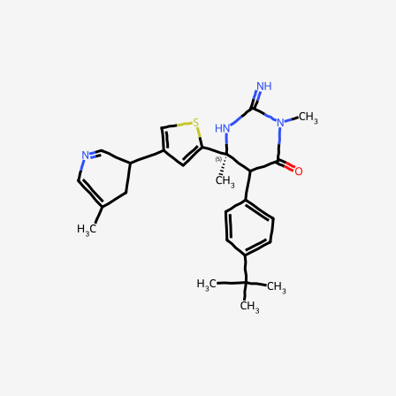 CC1=CN=CC(c2csc([C@@]3(C)NC(=N)N(C)C(=O)C3c3ccc(C(C)(C)C)cc3)c2)C1